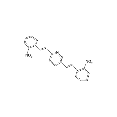 O=[N+]([O-])c1ccccc1/C=C/c1ccc(/C=C/c2ccccc2[N+](=O)[O-])nn1